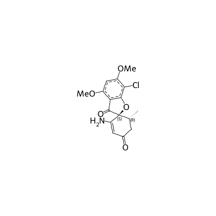 COc1cc(OC)c2c(c1Cl)O[C@]1(C2=O)C(N)=CC(=O)C[C@H]1C